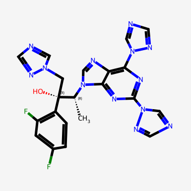 C[C@@H](n1cnc2c(-n3cncn3)nc(-n3cncn3)nc21)[C@](O)(Cn1cncn1)c1ccc(F)cc1F